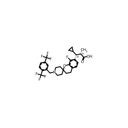 C[C@H](C(=O)O)[C@H](c1ccc2c(c1F)OC1(CC2)CCN(Cc2cc(C(F)(F)F)ccc2C(F)(F)F)CC1)C1CC1